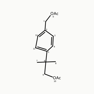 CC(=O)OCc1ccc(C(C)(C)COC(C)=O)cc1